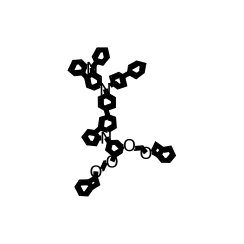 c1ccc(-c2ccc(N(c3ccc(-c4ccc5c(c4)c4ccccc4n5-c4cc(OCCOC5Cc6ccccc65)cc(OCCOC5Cc6ccccc65)c4)cc3)c3ccc4c5ccccc5n(-c5ccccc5)c4c3)cc2)cc1